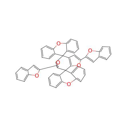 c1ccc2c(c1)Oc1ccccc1C21c2cc(-c3cc4ccccc4o3)oc2C2(c3ccccc3Oc3ccccc32)c2cc(-c3cc4ccccc4o3)oc21